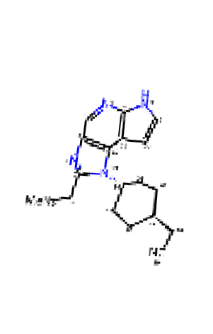 CNCc1nc2cnc3[nH]ccc3c2n1[C@H]1CC[C@H](CC#N)CC1